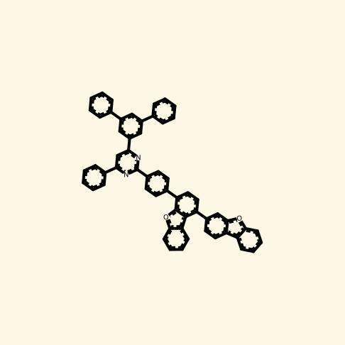 c1ccc(-c2cc(-c3ccccc3)cc(-c3cc(-c4ccccc4)nc(-c4ccc(-c5ccc(-c6ccc7c(c6)oc6ccccc67)c6c5oc5ccccc56)cc4)n3)c2)cc1